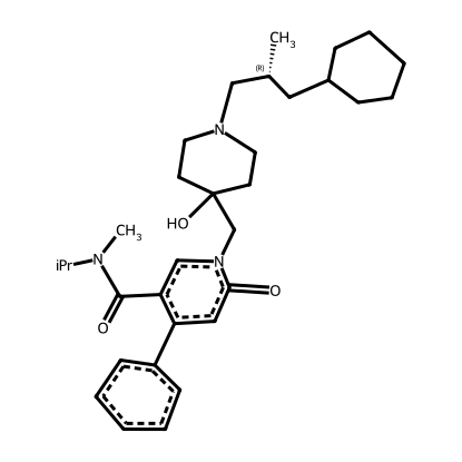 CC(C)N(C)C(=O)c1cn(CC2(O)CCN(C[C@H](C)CC3CCCCC3)CC2)c(=O)cc1-c1ccccc1